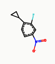 O=[N+]([O-])c1ccc(C2CC2)c(F)c1